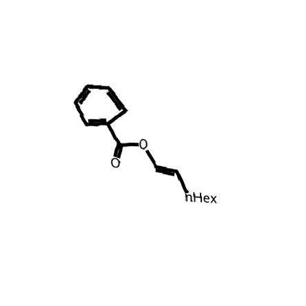 CCCCCCC=COC(=O)c1ccccc1